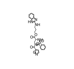 O=C(NCC(NS(=O)(=O)c1ccccc1)C(=O)OCCCNc1nc2ccccc2[nH]1)c1ccno1